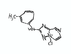 Cc1cccc(NC2=N[N+]3(Cl)C=CN=CC3=N2)c1